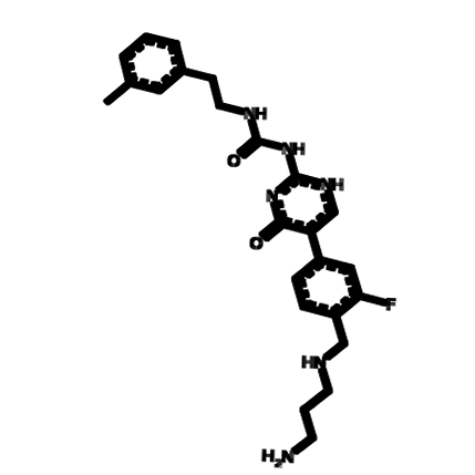 Cc1cccc(CCNC(=O)Nc2nc(=O)c(-c3ccc(CNCCCN)c(F)c3)c[nH]2)c1